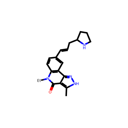 CCn1c(=O)c2c(C)[nH]nc2c2cc(C=CCC3CCCN3)ccc21